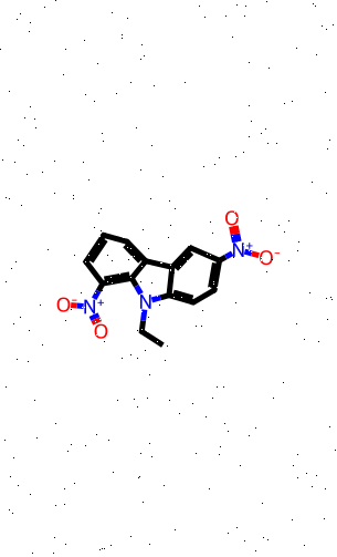 CCn1c2ccc([N+](=O)[O-])cc2c2cccc([N+](=O)[O-])c21